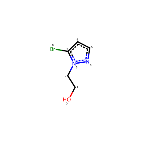 OCCn1nccc1Br